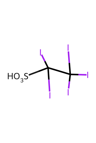 O=S(=O)(O)C(I)(I)C(I)(I)I